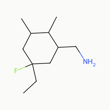 CCC1(F)CC(C)C(C)C(CN)C1